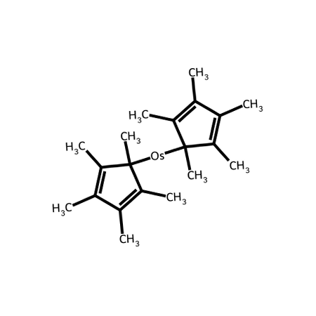 CC1=C(C)[C](C)([Os][C]2(C)C(C)=C(C)C(C)=C2C)C(C)=C1C